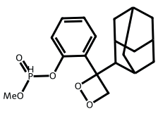 CO[PH](=O)Oc1ccccc1C1(C2C3CC4CC(C3)CC2C4)COO1